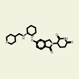 O=C1CCC(N2Cc3cc(O[C@H]4CCCC[C@@H]4NCC4CCOCC4)ccc3C2=O)C(=O)N1